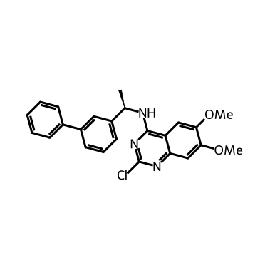 COc1cc2nc(Cl)nc(N[C@H](C)c3cccc(-c4ccccc4)c3)c2cc1OC